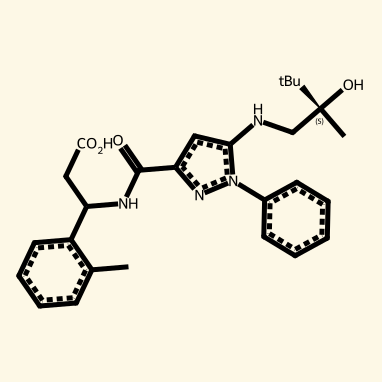 Cc1ccccc1C(CC(=O)O)NC(=O)c1cc(NC[C@@](C)(O)C(C)(C)C)n(-c2ccccc2)n1